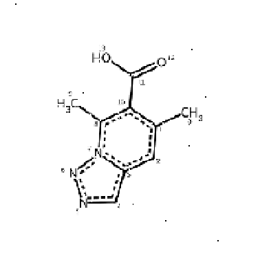 Cc1cc2cnnn2c(C)c1C(=O)O